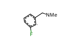 CNCc1[c]c(F)ccc1